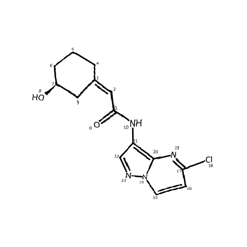 O=C(/C=C1/CCC[C@H](O)C1)Nc1cnn2ccc(Cl)nc12